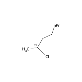 CCCCC[C@@H](C)Cl